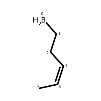 BCC/C=C\C